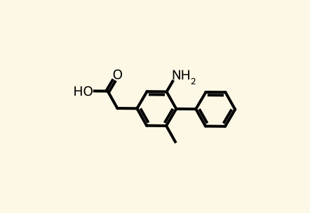 Cc1cc(CC(=O)O)cc(N)c1-c1ccccc1